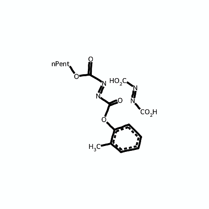 CCCCCOC(=O)N=NC(=O)Oc1ccccc1C.O=C(O)N=NC(=O)O